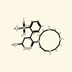 CC(C)CC(C(=O)N1CCOCCOCCOCC1)c1ccccc1S(N)(=O)=O